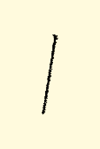 CCC(C)(C)C(=O)OCCOCCOCCOCCOCCOCCOCCOCCOCCOCCOCCOCCOCCOCCOCCOCCOCCOCCOCCOCCOCCOCCOC